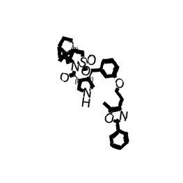 Cc1oc(-c2ccccc2)nc1CCOc1cccc(C[C@H]2CNC[C@@H]2C(=O)N2C3CC4CC[C@@]3(CS2(=O)=O)C4(C)C)c1